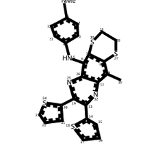 CNc1ccc(Nc2c3c(c(C)c4nc(-c5cccs5)c(-c5cccs5)nc24)SCCS3)cc1